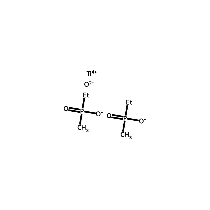 CCP(C)(=O)[O-].CCP(C)(=O)[O-].[O-2].[Ti+4]